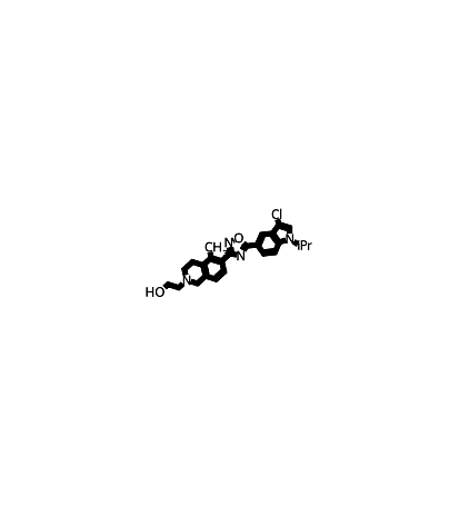 Cc1c(-c2noc(-c3ccc4c(c3)c(Cl)cn4C(C)C)n2)ccc2c1CCN(CCO)C2